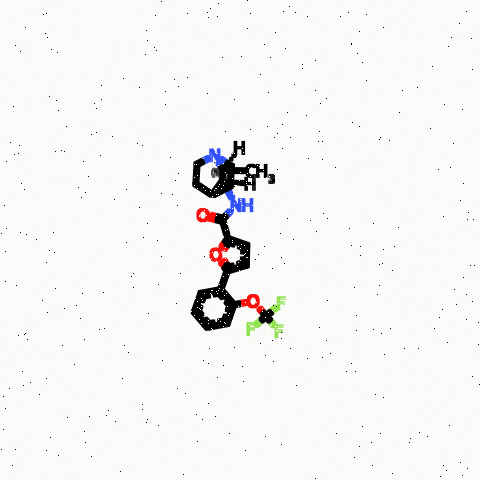 C[C@H]1[C@H](NC(=O)c2ccc(-c3ccccc3OC(F)(F)F)o2)C2CCN1CC2